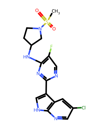 CS(=O)(=O)N1CCC(Nc2nc(-c3c[nH]c4ncc(Cl)cc34)ncc2F)C1